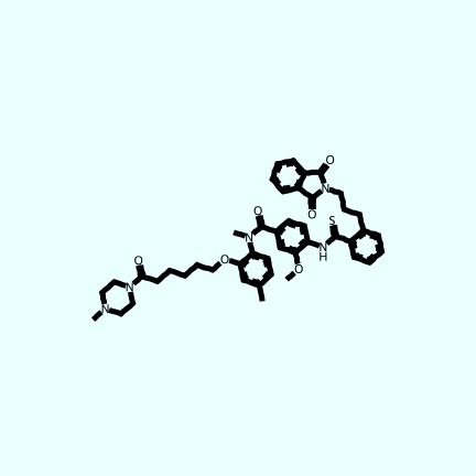 COc1cc(C(=O)N(C)c2ccc(C)cc2OCCCCCC(=O)N2CCN(C)CC2)ccc1NC(=S)c1ccccc1CCCN1C(=O)c2ccccc2C1=O